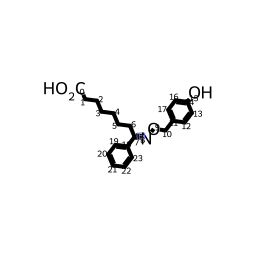 O=C(O)CCCCCC/C(=N\OCc1ccc(O)cc1)c1ccccc1